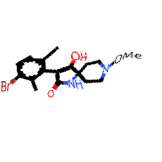 CON1CCC2(CC1)NC(=O)C(c1c(C)ccc(Br)c1C)=C2O